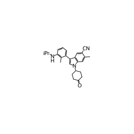 Cc1cc2c(cc1C#N)c(-c1cccc(NC(C)C)c1C)cn2C1CCC(=O)CC1